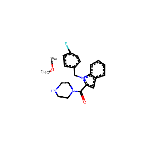 CC(C)(C)OC=O.O=C(c1cc2ccccc2n1Cc1ccc(F)cc1)N1CCNCC1